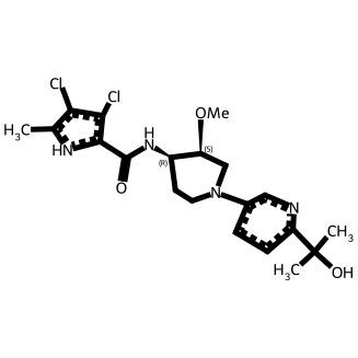 CO[C@H]1CN(c2ccc(C(C)(C)O)nc2)CC[C@H]1NC(=O)c1[nH]c(C)c(Cl)c1Cl